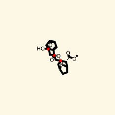 COC(=O)[C@@H]1C2CCC(C[C@@H]1OC(=O)c1ccccc1)N2CCCCC(=O)O